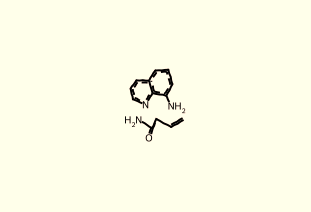 C=CCC(N)=O.Nc1cccc2cccnc12